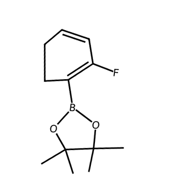 CC1(C)OB(C2=C(F)C=CCC2)OC1(C)C